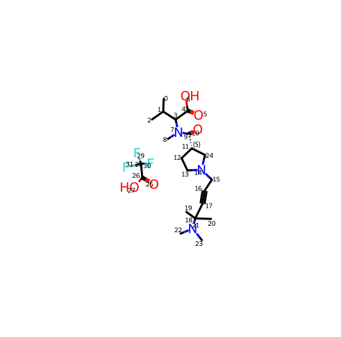 CC(C)C(C(=O)O)N(C)C(=O)[C@H]1CCN(CC#CC(C)(C)N(C)C)C1.O=C(O)C(F)(F)F